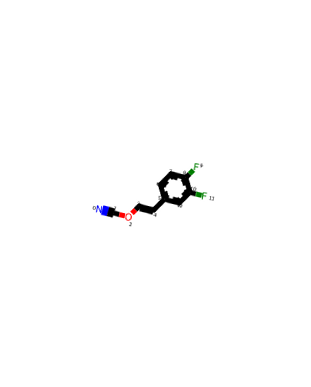 N#CO/C=C/c1ccc(F)c(F)c1